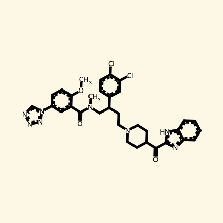 COc1ccc(-n2cnnn2)cc1C(=O)N(C)CC(CCN1CCC(C(=O)c2nc3ccccc3[nH]2)CC1)c1ccc(Cl)c(Cl)c1